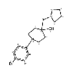 CCc1ccc(N2CCC(O)(CN3CCCC3)CC2)cn1